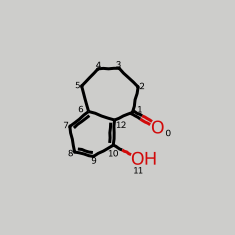 O=C1CCCCc2cccc(O)c21